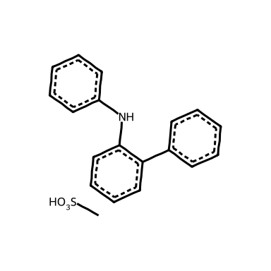 CS(=O)(=O)O.c1ccc(Nc2ccccc2-c2ccccc2)cc1